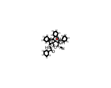 N#C[C@@H]1O[C@H](C(O)C(=O)c2ccccc2)[C@](O)(C(=O)c2ccccc2)[C@@](O)(C(=O)c2ccccc2)[C@]1(O)C(=O)c1ccccc1